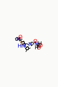 Cc1cc(C)cc(-c2[nH]c3sc(C(C)(C)C(=O)N4C5CCC4CC5)cc3c2CCN2CCC(C(=O)N3C[C@@H]4OCO[C@@H]4C3)CC2)c1